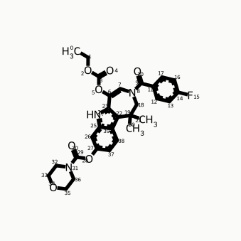 CCOC(=O)OC1=CN(C(=O)c2ccc(F)cc2)CC(C)(C)c2c1[nH]c1cc(OC(=O)N3CCOCC3)ccc21